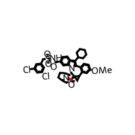 COc1ccc2c(c1)C1CC1(C(=O)N1C3CCC1CN(C)C3)Cn1c-2c(C2CCCCC2)c2ccc(C(=O)NS(=O)(=O)Cc3cc(Cl)cc(Cl)c3)cc21